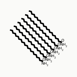 CCCCCCCCCCCCCCCCCCCCCC(N)=O.CCCCCCCCCCCCCCCCCCCCCC(N)=O.CCCCCCCCCCCCCCCCCCCCCC(N)=O.CCCCCCCCCCCCCCCCCCCCCC(N)=O.CCCCCCCCCCCCCCCCCCCCCC(N)=O.CCCCCCCCCCCCCCCCCCCCCC(N)=O